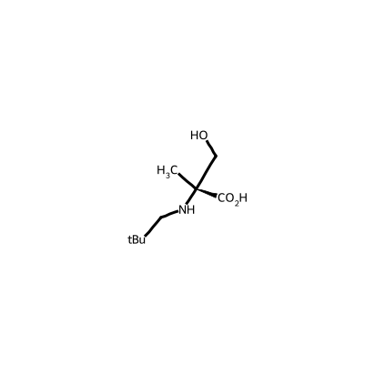 CC(C)(C)CN[C@](C)(CO)C(=O)O